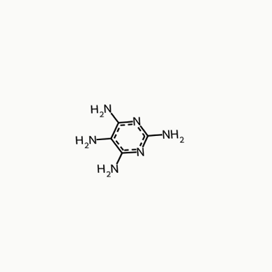 Nc1nc(N)c(N)c(N)n1